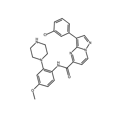 COc1ccc(NC(=O)c2ccn3ncc(-c4cccc(Cl)c4)c3n2)c(N2CCNCC2)c1